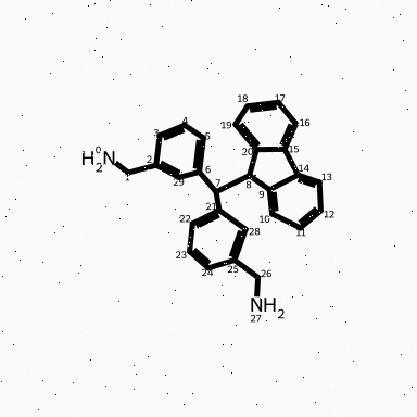 NCc1cccc(C([C]2c3ccccc3-c3ccccc32)c2cccc(CN)c2)c1